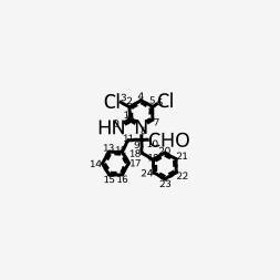 N=c1c(Cl)cc(Cl)cn1C(C=O)(Cc1ccccc1)Cc1ccccc1